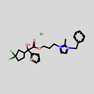 Cc1n(CCCOC(=O)C(O)(c2cccs2)C2CCC(F)(F)C2)cc[n+]1Cc1ccccc1.[Br-]